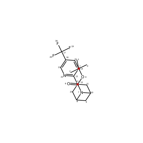 CC(C)(C)OC(=O)N1C2CC1CN(c1ncc(C(F)(F)F)cn1)C2